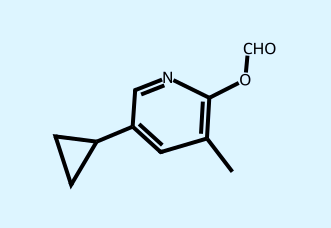 Cc1cc(C2CC2)cnc1OC=O